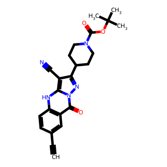 C#Cc1ccc2[nH]c3c(C#N)c(C4CCN(C(=O)OC(C)(C)C)CC4)nn3c(=O)c2c1